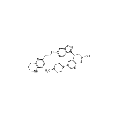 CN1CCN(c2cncc(C(CC(=O)O)n3ncc4cc(OCCc5ccc6c(n5)CCCN6)ccc43)c2)CC1